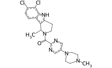 CC1c2c([nH]c3c(Cl)c(Cl)ccc23)CCN1C(=O)c1ncc(N2CCN(C)CC2)cn1